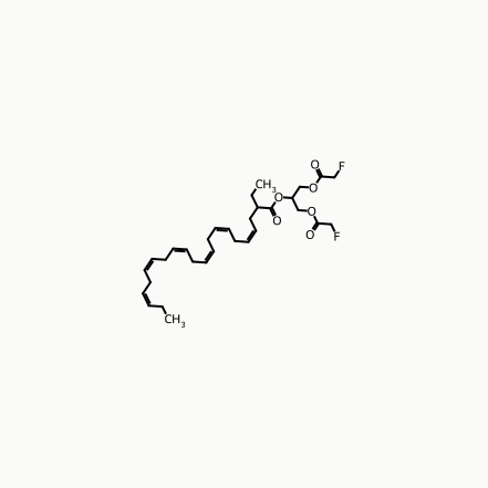 CC/C=C\C/C=C\C/C=C\C/C=C\C/C=C\C/C=C\CC(CC)C(=O)OC(COC(=O)CF)COC(=O)CF